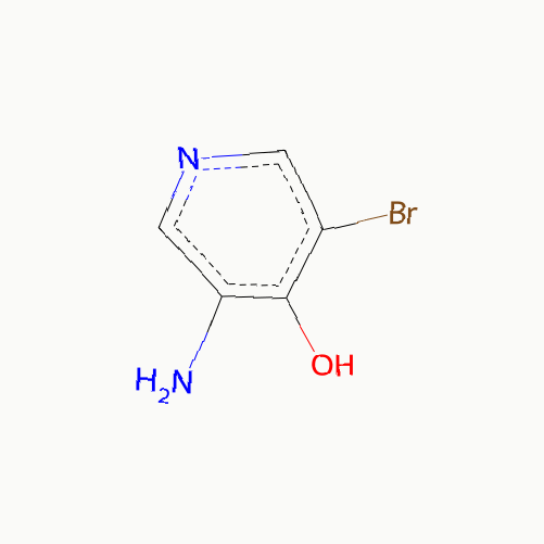 Nc1cncc(Br)c1O